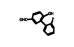 O=Cc1ccc(O)c(-c2ccccc2F)c1